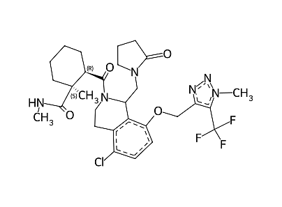 CNC(=O)[C@@]1(C)CCCC[C@H]1C(=O)N1CCc2c(Cl)ccc(OCc3nnn(C)c3C(F)(F)F)c2C1CN1CCCC1=O